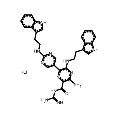 Cl.N=C(N)NC(=O)c1nc(-c2cnc(NCCc3c[nH]c4ccccc34)nc2)c(NCCc2c[nH]c3ccccc23)nc1N